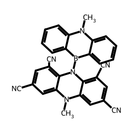 CN1c2ccccc2B(N2c3c(C#N)cc(C#N)cc3N(C)c3cc(C#N)cc(C#N)c32)c2ccccc21